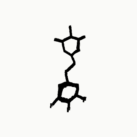 CC1CC(CCc2cc(F)c(F)c(F)c2)CC(C)C1C